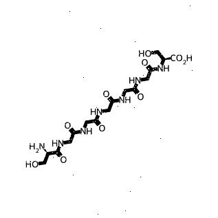 N[C@@H](CO)C(=O)NCC(=O)NCC(=O)NCC(=O)NCC(=O)NCC(=O)N[C@@H](CO)C(=O)O